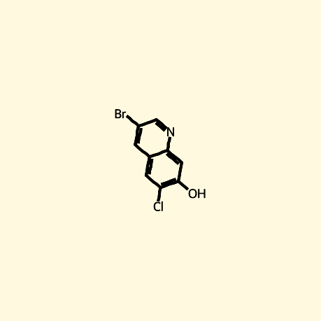 Oc1cc2ncc(Br)cc2cc1Cl